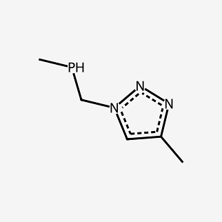 CPCn1cc(C)nn1